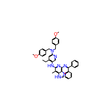 CCc1cc(N(Cc2ccc(OC)cc2)Cc2ccc(OC)cc2)ncc1Nc1nc(N=C(c2ccccc2)c2ccccc2)c2nc[nH]c2c1C